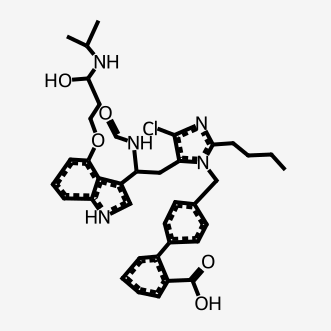 CCCCc1nc(Cl)c(CC(NC=O)c2c[nH]c3cccc(OCCC(O)NC(C)C)c23)n1Cc1ccc(-c2ccccc2C(=O)O)cc1